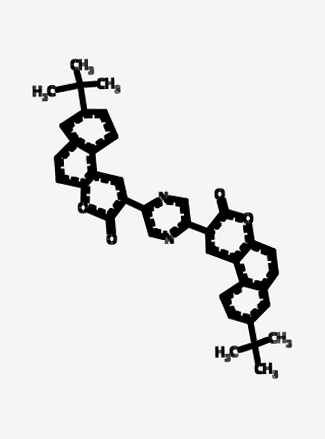 CC(C)(C)c1ccc2c(ccc3oc(=O)c(-c4cnc(-c5cc6c(ccc7cc(C(C)(C)C)ccc76)oc5=O)cn4)cc32)c1